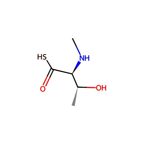 CN[C@H](C(=O)S)[C@@H](C)O